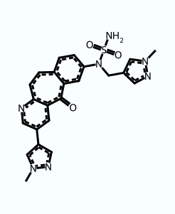 Cn1cc(CN(c2ccc3ccc4ncc(-c5cnn(C)c5)cc4c(=O)c3c2)S(N)(=O)=O)cn1